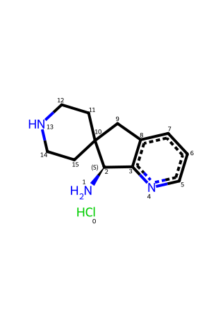 Cl.N[C@@H]1c2ncccc2CC12CCNCC2